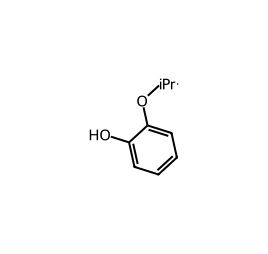 C[C](C)Oc1ccccc1O